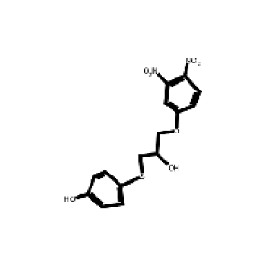 O=[N+]([O-])c1ccc(OCC(O)CSc2ccc(O)cc2)cc1[N+](=O)[O-]